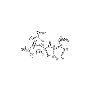 COC(=O)C[C@](C)(N[S@+]([O-])C(C)(C)C)c1cc2cccc(OC)c2o1